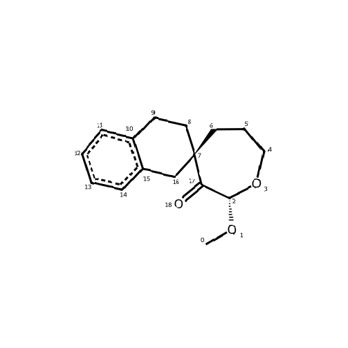 CO[C@H]1OCCC[C@@]2(CCc3ccccc3C2)C1=O